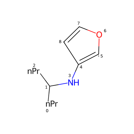 CCCC(CCC)Nc1[c]occ1